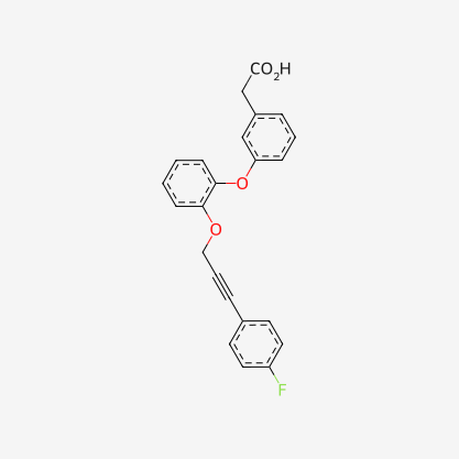 O=C(O)Cc1cccc(Oc2ccccc2OCC#Cc2ccc(F)cc2)c1